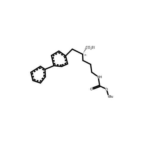 CCOC(=O)[C@H](CCCNC(=O)OC(C)(C)C)Cc1ccc(-c2ccccc2)cc1